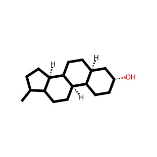 CC1CC[C@@H]2C1CC[C@@H]1C3CC[C@@H](O)C[C@@H]3CCC21